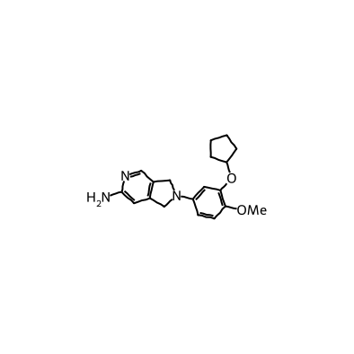 COc1ccc(N2Cc3cnc(N)cc3C2)cc1OC1CCCC1